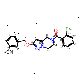 N#Cc1cccc(COc2cc3n(n2)CCN(C(=O)c2ccccc2F)C3)c1